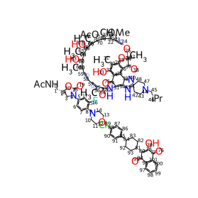 CC(=O)NC[C@H]1CN(c2ccc(N3CCOCC3)c(F)c2)C(=O)O1.CO[C@H]1/C=C\O[C@@]2(C)Oc3c(C)c(O)c4c(c3C2=O)C2=NC3(CCN(CC(C)C)CC3)NC2=C(NC(=O)/C(C)=C\C=C/[C@H](C)[C@H](O)[C@@H](C)[C@@H](O)[C@@H](C)[C@H](OC(C)=O)[C@@H]1C)C4=O.O=C1C(O)=C([C@H]2CC[C@H](c3ccc(Cl)cc3)CC2)C(=O)c2ccccc21